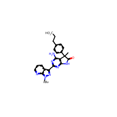 CCCCn1nc(-c2nc(N)c3c(n2)NC(=O)C3(C)c2ccc(CCC(=O)O)cc2)c2cccnc21